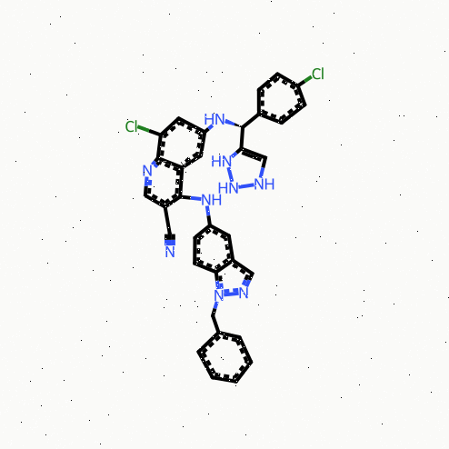 N#Cc1cnc2c(Cl)cc(N[C@H](C3=CNNN3)c3ccc(Cl)cc3)cc2c1Nc1ccc2c(cnn2Cc2ccccc2)c1